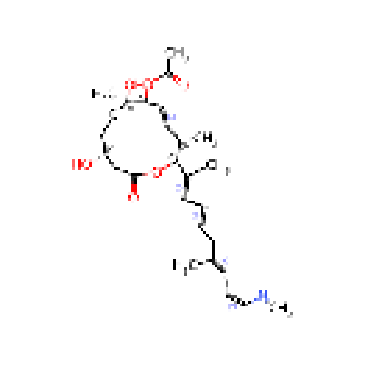 C=N/C=C\C=C(/C)C/C=C/C=C(\C)[C@H]1OC(=O)C[C@H](O)CC[C@@](C)(O)[C@@H](OC(C)=O)/C=C/[C@@H]1C